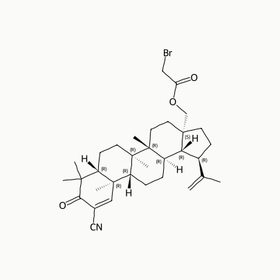 C=C(C)[C@@H]1CC[C@]2(COC(=O)CBr)CC[C@]3(C)[C@H](CC[C@@H]4[C@@]5(C)C=C(C#N)C(=O)C(C)(C)[C@@H]5CC[C@]43C)[C@@H]12